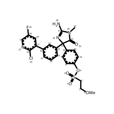 COCCS(=O)(=O)Oc1ccc(C2(c3cccc(-c4cc(F)cnc4Cl)c3)N=C(N)N(C)C2=O)cc1